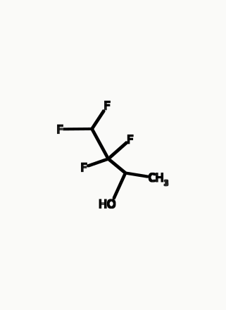 CC(O)C(F)(F)C(F)F